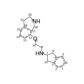 c1ccc2c(c1)CC(NCCOc1cccc3c1CNCC3)C2